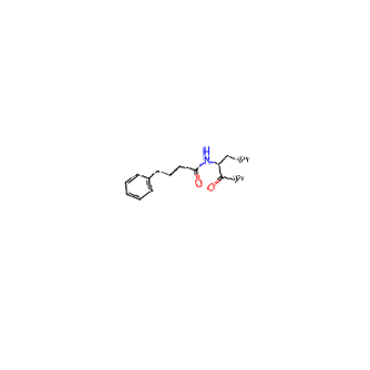 CC(C)CC(NC(=O)CCCc1ccccc1)C(=O)C(C)C